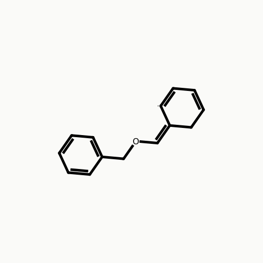 [C]1=CC=CCC1=COCc1ccccc1